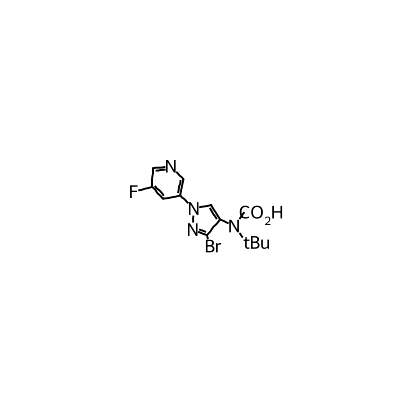 CC(C)(C)N(C(=O)O)c1cn(-c2cncc(F)c2)nc1Br